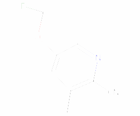 Cc1cc(OCF)cnc1C#N